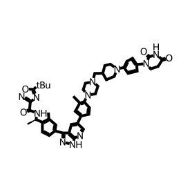 Cc1cc(-c2n[nH]c3ncc(-c4ccc(N5CCN(CC6CCN(c7ccc(N8CCC(=O)NC8=O)cc7)CC6)CC5)c(C)c4)cc23)ccc1[C@@H](C)NC(=O)c1noc(C(C)(C)C)n1